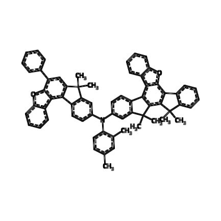 Cc1ccc(N(c2ccc3c(c2)C(C)(C)c2cc(-c4ccccc4)c4oc5ccccc5c4c2-3)c2ccc3c(c2)C(C)(C)c2c4c(c5oc6ccccc6c5c2-3)-c2ccccc2C4(C)C)c(C)c1